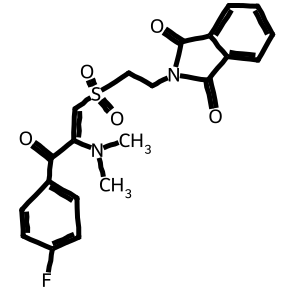 CN(C)C(=CS(=O)(=O)CCN1C(=O)c2ccccc2C1=O)C(=O)c1ccc(F)cc1